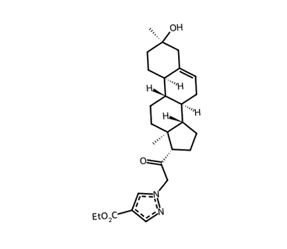 CCOC(=O)c1cnn(CC(=O)[C@H]2CC[C@H]3[C@@H]4CC=C5C[C@](C)(O)CC[C@@H]5[C@H]4CC[C@]23C)c1